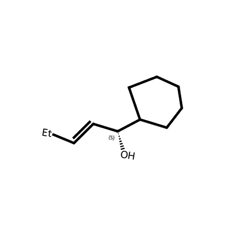 CCC=C[C@@H](O)C1CCCCC1